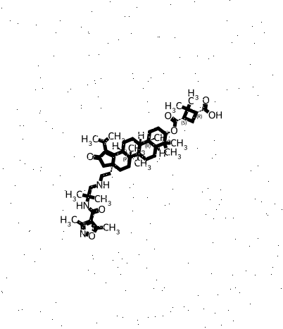 Cc1noc(C)c1C(=O)NC(C)(C)CNCC[C@@]12CC[C@]3(C)[C@H](CC[C@@H]4[C@@]5(C)CC[C@H](OC(=O)[C@H]6C[C@@H](C(=O)O)C6(C)C)C(C)(C)[C@@H]5CC[C@]43C)C1=C(C(C)C)C(=O)C2